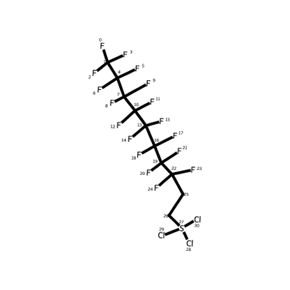 FC(F)(F)C(F)(F)C(F)(F)C(F)(F)C(F)(F)C(F)(F)C(F)(F)C(F)(F)CCS(Cl)(Cl)Cl